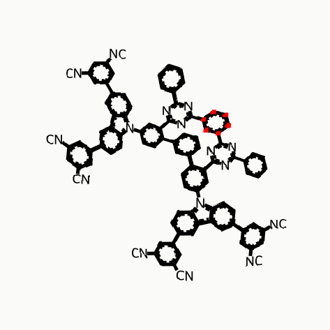 [C-]#[N+]c1cc(C#N)cc(-c2ccc3c(c2)c2cc(-c4cc([N+]#[C-])cc([N+]#[C-])c4)ccc2n3-c2ccc(-c3cccc(-c4ccc(-n5c6ccc(-c7cc(C#N)cc([N+]#[C-])c7)cc6c6cc(-c7cc([N+]#[C-])cc([N+]#[C-])c7)ccc65)cc4-c4nc(-c5ccccc5)nc(-c5ccccc5)n4)c3)c(-c3nc(-c4ccccc4)nc(-c4ccccc4)n3)c2)c1